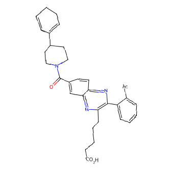 CC(=O)c1ccccc1-c1nc2ccc(C(=O)N3CCC(C4=CCCC=C4)CC3)cc2nc1CCCCC(=O)O